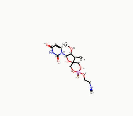 [C-]#[N+]CCOP1(=S)OCC2(CO1)O[C@@H](n1ccc(=O)[nH]c1=O)C(OC)[C@H]2C